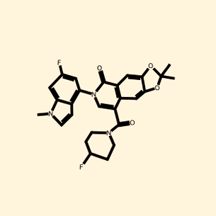 Cn1ccc2c(-n3cc(C(=O)N4CCC(F)CC4)c4cc5c(cc4c3=O)OC(C)(C)O5)cc(F)cc21